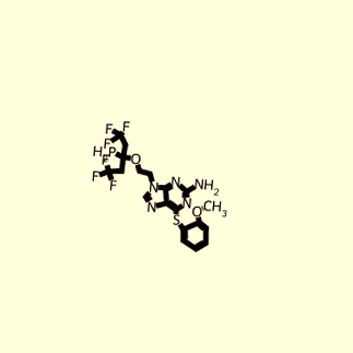 COc1ccccc1Sc1nc(N)nc2c1ncn2CCOC(P)(CC(F)(F)F)CC(F)(F)F